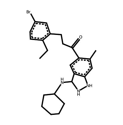 CCc1ccc(Br)cc1CCC(=O)c1cc2c(cc1C)NNC2NC1CCCCC1